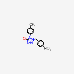 O=c1nnn(Cc2ccc([N+](=O)[O-])cc2)n1-c1ccc(C(F)(F)F)cc1